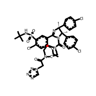 CCOc1cc(Cl)c(S(=O)(=O)NC(C)(C)C)cc1C1=N[C@@](C)(c2ccc(Cl)cc2)[C@@](C)(c2ccc(Cl)cc2)N1C(=O)N1CCN(C(=O)Cn2cnnn2)CC1